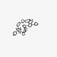 c1ccc(-c2cccc(-c3nc(-c4ccccc4)nc(-c4cccc5oc6c(-c7ccc(-c8ccccc8)c8sc9ccccc9c78)cccc6c45)n3)c2)cc1